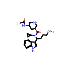 COCCCC(c1c[nH]c2ccccc12)N(C(=O)[C@@H]1CNC[C@H](NC(=O)C(C)(C)C)C1)C1CC1